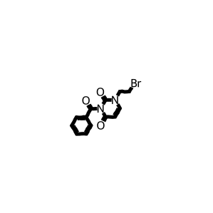 O=C(c1ccccc1)n1c(=O)ccn(CCBr)c1=O